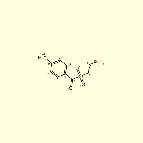 CSCS(=O)(=O)C(=O)c1ccc(C)cc1